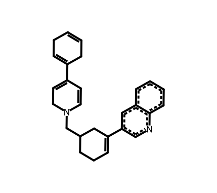 C1=CCC(C2=CCN(CC3CCC=C(c4cnc5ccccc5c4)C3)C=C2)=CC1